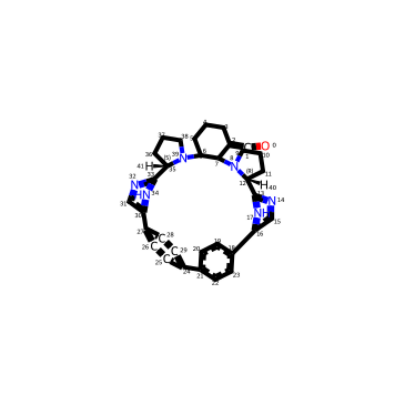 O=C=C1[CH]CC[C]2C1N1CCC[C@@H]1c1ncc([nH]1)-c1ccc(cc1)-c1ccc(cc1)-c1cnc([nH]1)[C@@H]1CCCN21